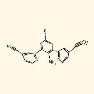 C#Cc1ccnc(-c2cc(F)cc(-c3cc(C#C)ccn3)c2N)c1